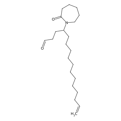 C=CCCCCCCCCCCC(CCC=O)N1CCCCCC1=O